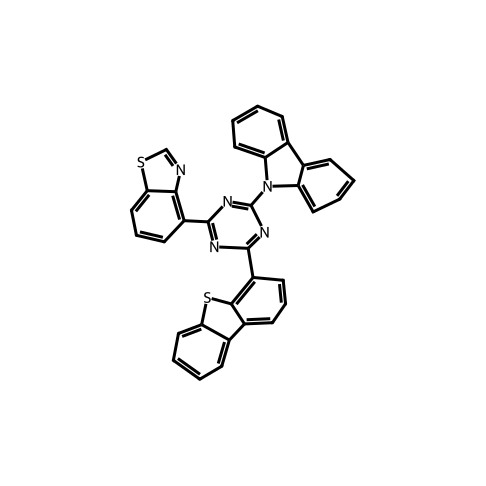 c1cc(-c2nc(-c3cccc4c3sc3ccccc34)nc(-n3c4ccccc4c4ccccc43)n2)c2ncsc2c1